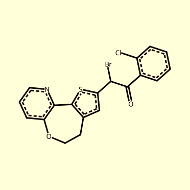 O=C(c1ccccc1Cl)C(Br)c1cc2c(s1)-c1ncccc1OCC2